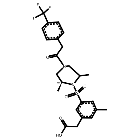 Cc1cc(CC(=O)O)cc(S(=O)(=O)N2C(C)CN(C(=O)Cc3ccc(C(F)(F)F)cc3)C[C@@H]2C)c1